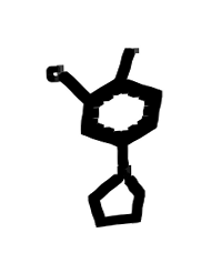 [CH2]c1ccc(N2CCCC2)cc1Cl